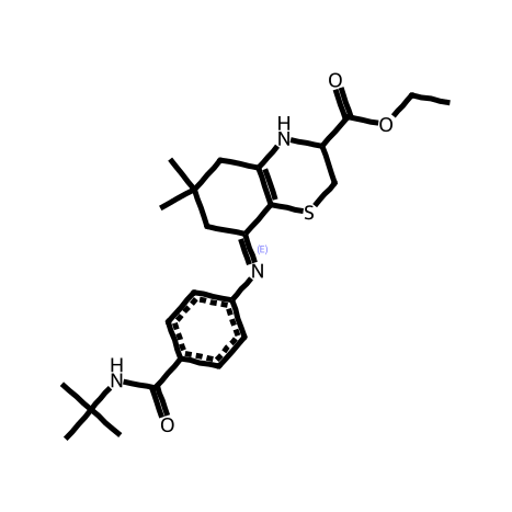 CCOC(=O)C1CSC2=C(CC(C)(C)C/C2=N\c2ccc(C(=O)NC(C)(C)C)cc2)N1